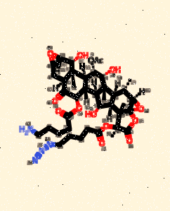 CC(=O)O[C@H]1[C@H]2[C@H]([C@@H]3[C@@H](O)[C@@H]4[C@H]([C@H](C)[C@H]5O[C@]56OC(=O)[C@@](C)(OC(=O)CCCCN=[N+]=[N-])[C@]46C)[C@@]3(C)[C@H]1O)[C@@H](OC(=O)CCCCN)C(=O)[C@H]1C[C@@H]3O[C@@H]3[C@H](O)[C@]21C